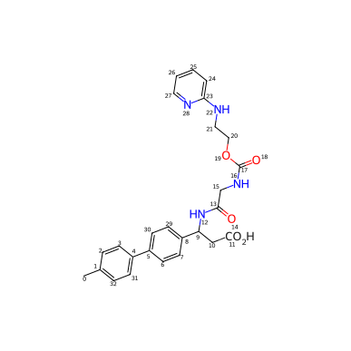 Cc1ccc(-c2ccc(C(CC(=O)O)NC(=O)CNC(=O)OCCNc3ccccn3)cc2)cc1